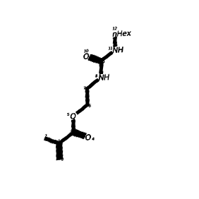 C=C(C)C(=O)OCCNC(=O)NCCCCCC